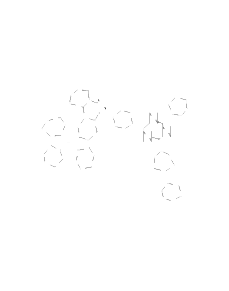 c1ccc(-c2ccc(-c3nc(-c4ccccc4)nc(-c4ccc(-c5nc6ccccc6c6c7c(ccc56)C5(c6ccccc6-c6ccccc65)c5ccccc5-7)cc4)n3)cc2)cc1